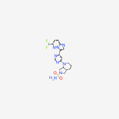 NS(=O)(=O)N1CC2CCCN(c3cc(-c4cnc5ccc(C(F)F)nn45)ncn3)C2C1